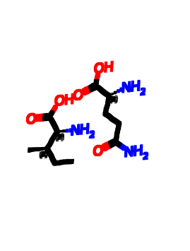 CC[C@@H](C)[C@@H](N)C(=O)O.NC(=O)CC[C@@H](N)C(=O)O